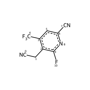 N#CCc1c(C(F)(F)F)cc(C#N)nc1F